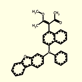 CO/C(C)=C(\C(C)=O)c1ccc(N(c2ccccc2)c2ccc3c(c2)oc2ccccc23)c2ccccc12